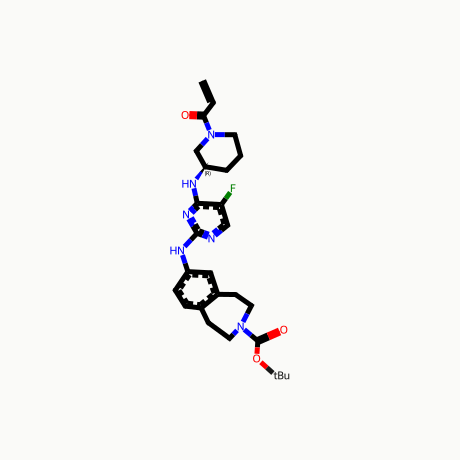 C=CC(=O)N1CCC[C@@H](Nc2nc(Nc3ccc4c(c3)CCN(C(=O)OC(C)(C)C)CC4)ncc2F)C1